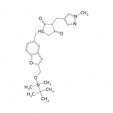 Cn1cc(CC2C(=O)C[SH](Cc3ccc4oc(CO[Si](C)(C)C(C)(C)C)cc4c3)C2=O)cn1